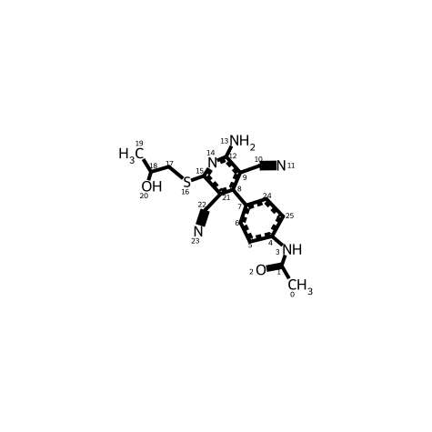 CC(=O)Nc1ccc(-c2c(C#N)c(N)nc(SCC(C)O)c2C#N)cc1